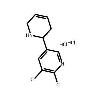 Cl.Cl.Clc1cc(C2CC=CCN2)cnc1Cl